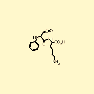 NCCCCC(NC(=O)C(C=C=O)Nc1ccccc1)C(=O)O